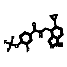 O=C(NCc1c(C2CC2)ccc2[nH]ncc12)c1ccc(OC(F)(F)F)c(F)c1